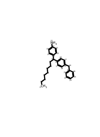 CCCCCCCCC(c1ccc(N)cc1)c1ccc(Cc2ccccc2)cc1